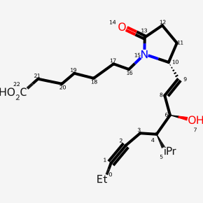 CCC#CC[C@H](C(C)C)[C@H](O)C=C[C@H]1CCC(=O)N1CCCCCCC(=O)O